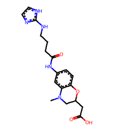 CN1CC(CC(=O)O)Oc2ccc(NC(=O)CCCNc3ncc[nH]3)cc21